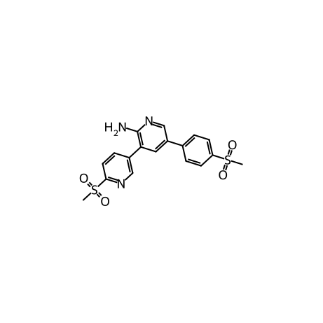 CS(=O)(=O)c1ccc(-c2cnc(N)c(-c3ccc(S(C)(=O)=O)nc3)c2)cc1